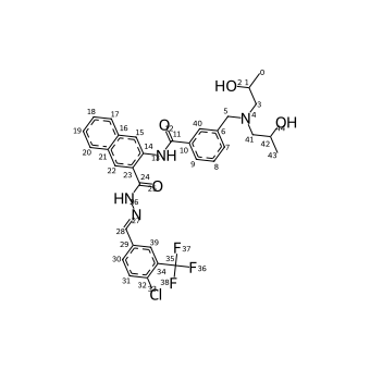 CC(O)CN(Cc1cccc(C(=O)Nc2cc3ccccc3cc2C(=O)NN=Cc2ccc(Cl)c(C(F)(F)F)c2)c1)CC(C)O